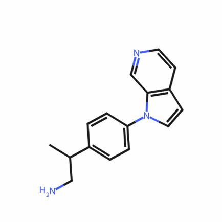 CC(CN)c1ccc(-n2ccc3ccncc32)cc1